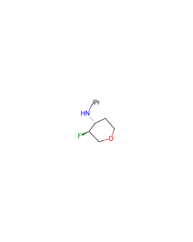 CC(C)N[C@@H]1CCOC[C@H]1F